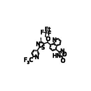 CCC(F)(F)COC(c1sc(-c2ccc(C(F)(F)F)nc2)nc1C)c1ccc(-c2noc(=O)[nH]2)c2cccnc12